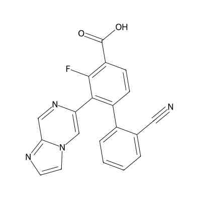 N#Cc1ccccc1-c1ccc(C(=O)O)c(F)c1-c1cn2ccnc2cn1